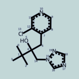 CC(C)(C)C(O)(Cc1ccncc1Cl)Cn1cncn1